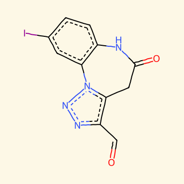 O=Cc1nnn2c1CC(=O)Nc1ccc(I)cc1-2